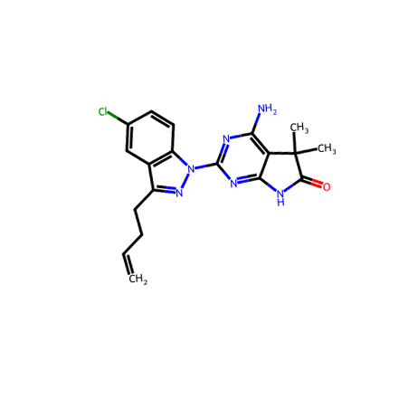 C=CCCc1nn(-c2nc(N)c3c(n2)NC(=O)C3(C)C)c2ccc(Cl)cc12